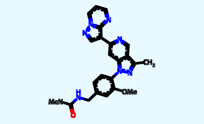 CNC(=O)NCc1ccc(-n2nc(C)c3cnc(-c4cnn5cccnc45)cc32)c(OC)c1